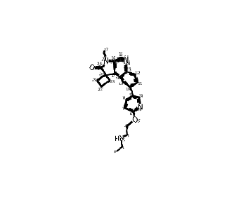 CCNCCOc1ccc(-c2ccc3ncc4c(c3c2)C2(CCC2)C(=O)N4C)cn1